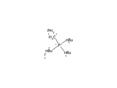 CCCC[P+](C)(CCCC)CCCC.P.[I-]